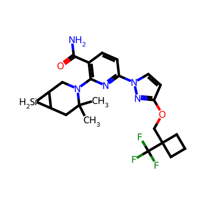 CC1(C)CC2[SiH2]C2CN1c1nc(-n2ccc(OCC3(C(F)(F)F)CCC3)n2)ccc1C(N)=O